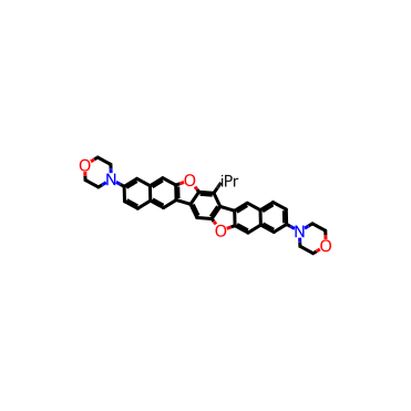 CC(C)c1c2oc3cc4cc(N5CCOCC5)ccc4cc3c2cc2oc3cc4cc(N5CCOCC5)ccc4cc3c12